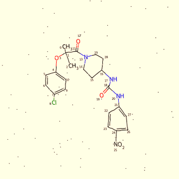 CC(C)(Oc1ccc(Cl)cc1)C(=O)N1CCC(NC(=O)Nc2ccc([N+](=O)[O-])cc2)CC1